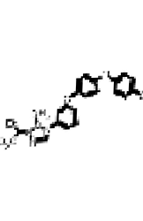 CCC(C(=O)O)N1N=CN(c2cccc(Oc3ccc(Oc4ccc(Cl)cc4)cc3)c2)N1N